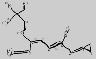 C=N/C(=C\C=C(\C=C1CC1)CC)OCC(F)(F)P